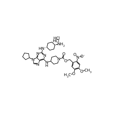 COc1cc(COC(=O)N2CCC(Nc3nc(N[C@H]4CC[C@H](N)CC4)nc4c3ncn4C3CCCC3)CC2)c([N+](=O)[O-])cc1OC.Cl.Cl